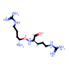 N=C(N)NCCC[C@@H](N)ON[C@@H](C=O)CCCNC(=N)N